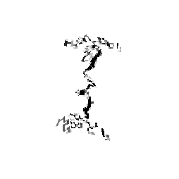 CO[Si](CCCSSS(=S)CCC[Si](OC)(OC)OC)(OC)OC